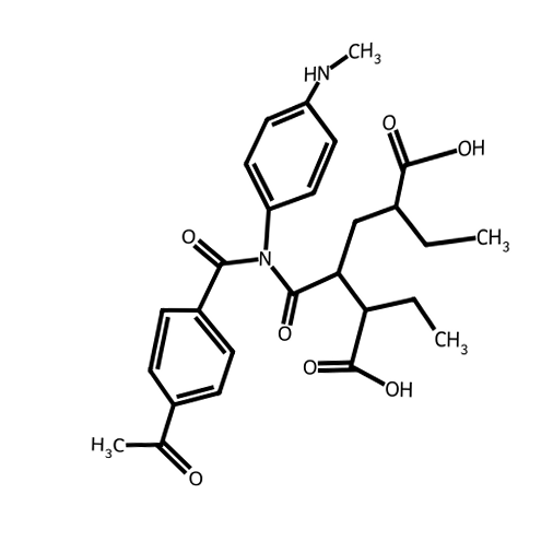 CCC(CC(C(=O)N(C(=O)c1ccc(C(C)=O)cc1)c1ccc(NC)cc1)C(CC)C(=O)O)C(=O)O